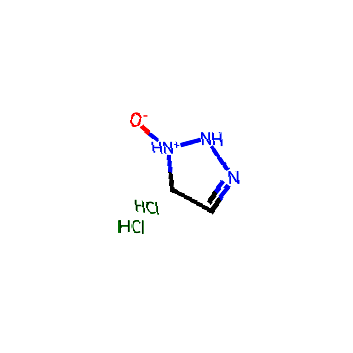 Cl.Cl.[O-][NH+]1CC=NN1